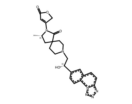 C[C@H]1CC2(CCN(C[C@@H](O)c3ccc4c(ccc5nnnn54)c3)CC2)C(=O)N1C1=CC(=O)OC1